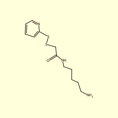 NCCCCCNC(=O)CSSc1ccccn1